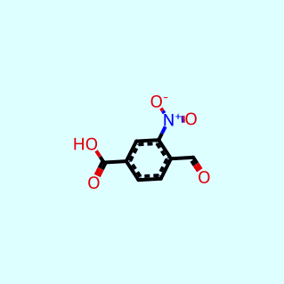 O=Cc1ccc(C(=O)O)cc1[N+](=O)[O-]